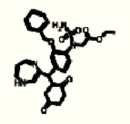 CCOC(=O)CN(c1ccc(C(C2=CNC=CC=N2)C2CC(=O)CCC2=O)cc1OCc1ccccc1)S(N)(=O)=O